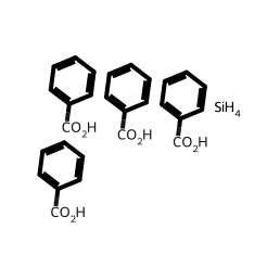 O=C(O)c1ccccc1.O=C(O)c1ccccc1.O=C(O)c1ccccc1.O=C(O)c1ccccc1.[SiH4]